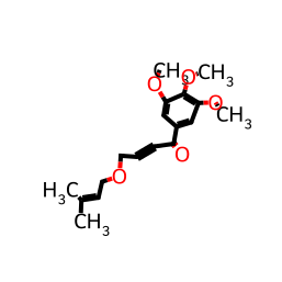 COc1cc(C(=O)C#CCOCC=C(C)C)cc(OC)c1OC